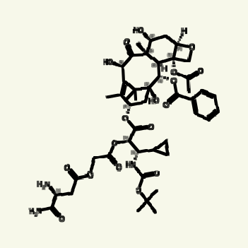 CC(=O)O[C@@]12CO[C@@H]1C[C@H](O)[C@@]1(C)C(=O)[C@H](O)C3=C(C)[C@@H](OC(=O)[C@H](OC(=O)COC(=O)C[C@H](N)C(N)=O)[C@@H](NC(=O)OC(C)(C)C)C4CC4)C[C@@](O)([C@@H](OC(=O)c4ccccc4)[C@H]21)C3(C)C